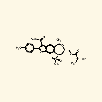 CNC(=O)c1c(-c2ccc(C)cc2)oc2cc3c(cc12)[C@H](C)O[C@H](COC(=O)[C@@H](N)C(C)C)CN3S(C)(=O)=O